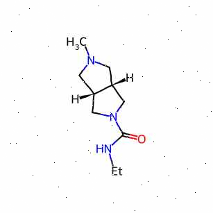 CCNC(=O)N1C[C@H]2CN(C)C[C@H]2C1